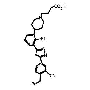 CCc1c(-c2nnc(-c3ccc(CC(C)C)c(C#N)c3)s2)cccc1C1CCN(CCCC(=O)O)CC1